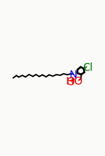 CCCCCCCCCCCCCCCCCCN(C=O)c1ccc(Cl)cc1CO